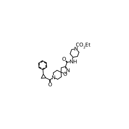 CCOC(=O)N1CCC(NC(=O)C2=NOC3(CCN(C(=O)C4CC4c4ccccc4)CC3)C2)CC1